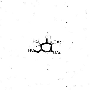 CC(=O)OC1OC(CO)[C@H](O)C(O)[C@@H]1OC(C)=O